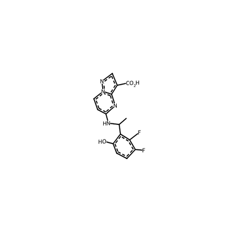 CC(Nc1ccn2ncc(C(=O)O)c2n1)c1c(O)ccc(F)c1F